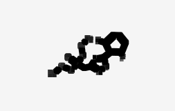 CCOOP(=O)(Cc1noc(-c2c(F)cccc2F)n1)OOCC